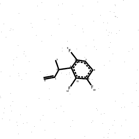 C=C[C](C)c1c(F)ccc(F)c1F